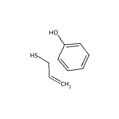 C=CCS.Oc1ccccc1